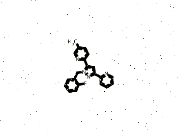 Cc1ccc(-c2cc(-c3ccccn3)nn2Cc2ccccc2F)nc1